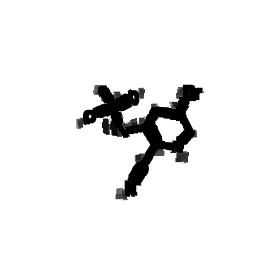 CS(=O)(=O)Nc1cc(Br)cnc1C#N